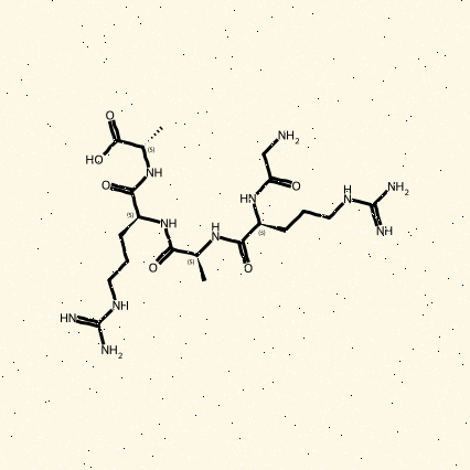 C[C@H](NC(=O)[C@H](CCCNC(=N)N)NC(=O)[C@H](C)NC(=O)[C@H](CCCNC(=N)N)NC(=O)CN)C(=O)O